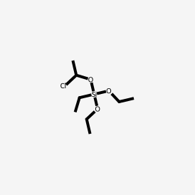 CCO[Si](CC)(OCC)OC(C)Cl